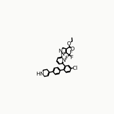 CCOC(=O)c1cnn(-c2cccc(-c3cc(Cl)ccc3-c3ccc(C4=CCNCC4)cc3)n2)c1C(F)(F)F